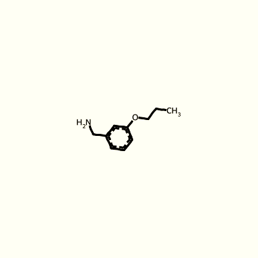 CCCOc1cccc(CN)c1